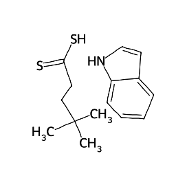 CC(C)(C)CCC(=S)S.c1ccc2[nH]ccc2c1